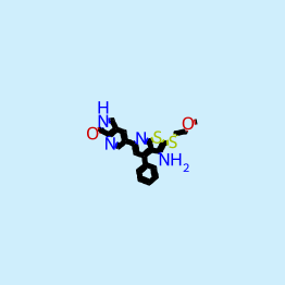 COCCSc1sc2nc(-c3cnc4c(c3)CNC4=O)cc(-c3ccccc3)c2c1N